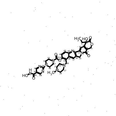 CC[C@@]1(O)C(=O)OCc2c1cc1n(c2=O)Cc2cc3c(CN4CCN(C)CC4)c(OC(=O)N4CCN(c5ncc(C(=O)NO)cn5)CC4)ccc3nc2-1